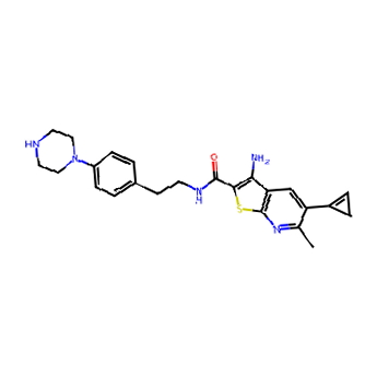 Cc1nc2sc(C(=O)NCCc3ccc(N4CCNCC4)cc3)c(N)c2cc1C1=CC1